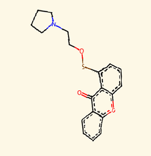 O=c1c2ccccc2oc2cccc(SOCCN3CCCC3)c12